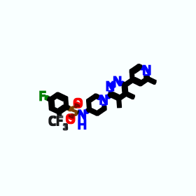 Cc1cc(-c2nnc(N3CCC(NS(=O)(=O)c4ccc(F)cc4C(F)(F)F)CC3)c(C)c2C)ccn1